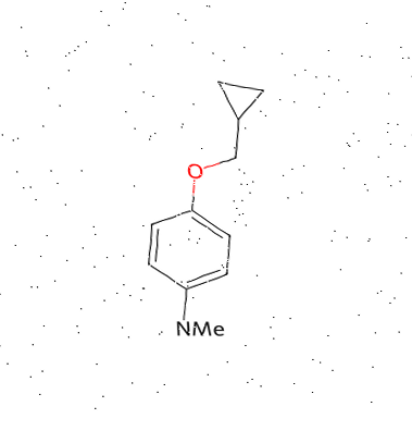 CNc1ccc(OCC2CC2)cc1